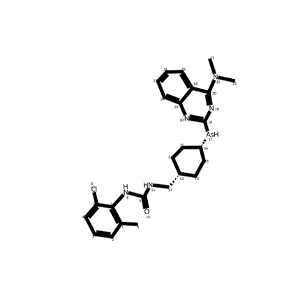 Cc1cccc(Cl)c1NC(=O)NC[C@H]1CC[C@@H]([AsH]c2nc(N(C)C)c3ccccc3n2)CC1